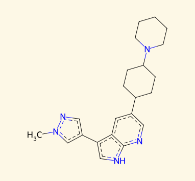 Cn1cc(-c2c[nH]c3ncc(C4CCC(N5CCCCC5)CC4)cc23)cn1